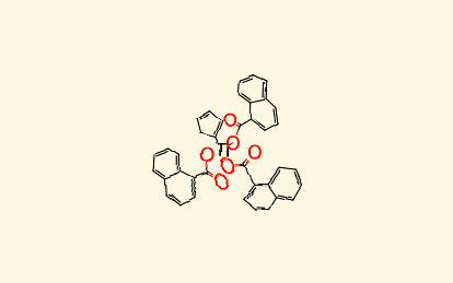 O=C([O][Ti]([O]C(=O)c1cccc2ccccc12)([O]C(=O)c1cccc2ccccc12)[C]1=CC=CC1)c1cccc2ccccc12